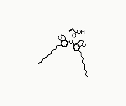 C=CC(=O)O.CCCCCCCCCc1ccc(Oc2ccc(CCCCCCCCC)c3c2CCO3)c2c1OCC2